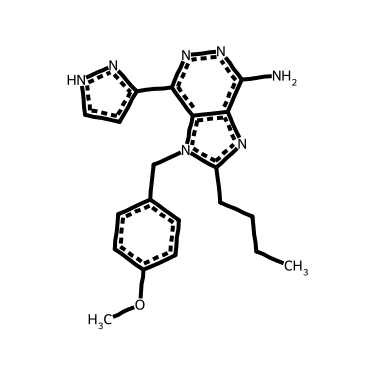 CCCCc1nc2c(N)nnc(-c3cc[nH]n3)c2n1Cc1ccc(OC)cc1